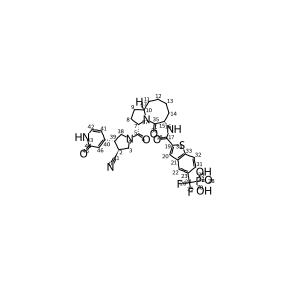 N#C[C@@H]1CN(C(=O)[C@@H]2CC[C@@H]3CCCC[C@H](NC(=O)c4cc5cc(C(F)(F)P(=O)(O)O)ccc5s4)C(=O)N32)C[C@H]1c1cc[nH]c(=O)c1